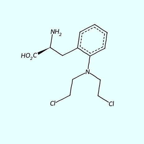 N[C@@H](Cc1ccccc1N(CCCl)CCCl)C(=O)O